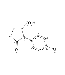 O=C(O)C1CCC(=O)N1c1ccc(Cl)cc1